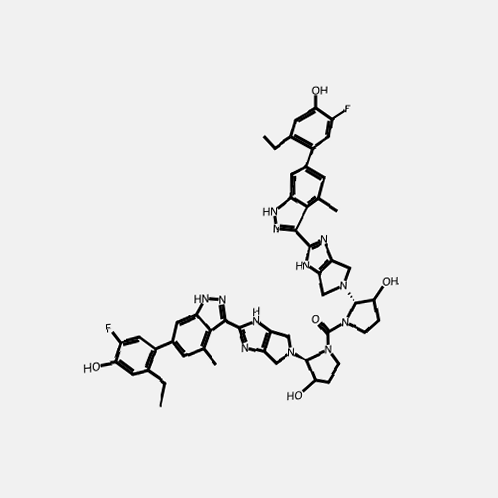 CCc1cc(O)c(F)cc1-c1cc(C)c2c(-c3nc4c([nH]3)CN([C@@H]3C(O)CCN3C(=O)N3CCC(O)[C@H]3N3Cc5nc(-c6n[nH]c7cc(-c8cc(F)c(O)cc8CC)cc(C)c67)[nH]c5C3)C4)n[nH]c2c1